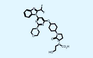 O=C1[C@@H](N(CCO)C(=O)O)CCN1C1CCC(Oc2cc(-n3c(C(F)F)nc4ccccc43)nc(N3CCOCC3)n2)CC1